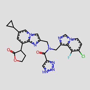 O=C1OCCC1c1cc(C2CC2)cn2cc(CN(Cc3ncn4ccc(Cl)c(F)c34)C(=O)c3c[nH]nn3)nc12